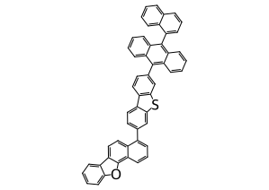 c1ccc2c(-c3c4ccccc4c(-c4ccc5c(c4)sc4cc(-c6cccc7c6ccc6c8ccccc8oc76)ccc45)c4ccccc34)cccc2c1